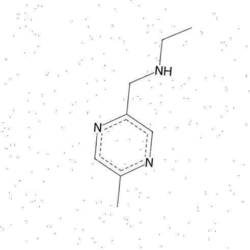 CCNCc1cnc(C)cn1